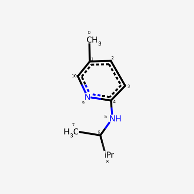 Cc1ccc(NC(C)C(C)C)nc1